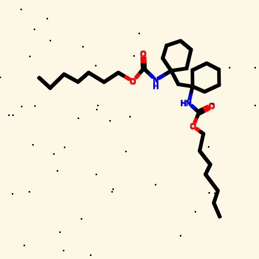 CCCCCCCOC(=O)NC1(CC2(NC(=O)OCCCCCCC)CCCCC2)CCCCC1